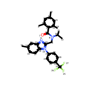 Cc1cc(C)c(C(=O)N(Cc2nc3cc(C)ccc3n2-c2ccc(C(F)(F)F)cc2)C(C)C)c(C)c1